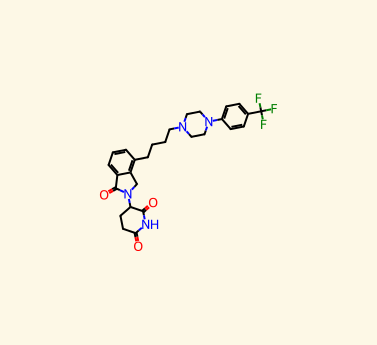 O=C1CCC(N2Cc3c(CCCCN4CCN(c5ccc(C(F)(F)F)cc5)CC4)cccc3C2=O)C(=O)N1